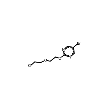 ClCCOCCOc1ncc(Br)cn1